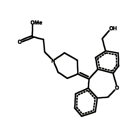 COC(=O)CCN1CCC(=C2c3ccccc3COc3ccc(CO)cc32)CC1